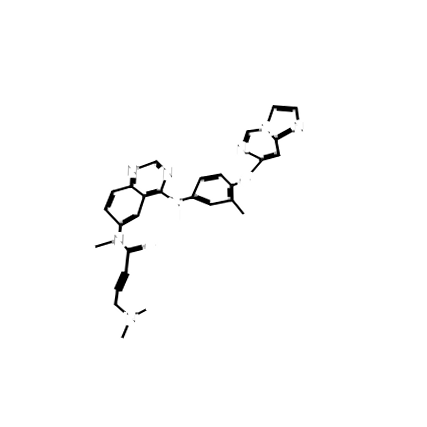 Cc1cc(Nc2ncnc3ccc(N(C)C(=O)C#CCN(C)C)cc23)ccc1Oc1cc2nccn2cn1